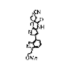 COCCn1ncc2c(-c3cnc4c(c3)NC(=O)[C@]3(CCN(C#N)C3)O4)cccc21